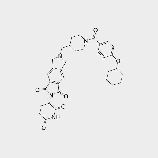 O=C1CCC(N2C(=O)c3cc4c(cc3C2=O)CN(CC2CCN(C(=O)c3ccc(OC5CCCCC5)cc3)CC2)C4)C(=O)N1